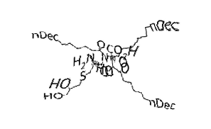 CCCCCCCCCCCCCCCC(=O)C(O)[C@](C(=O)O)(C(=O)CCCCCCCCCCCCCCC)N(C(=O)CCCCCCCCCCCCCCC)C(=O)[C@@H](N)CSCC(O)CO